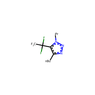 CCCCc1nnn(C(C)C)c1C(F)(F)C(F)(F)F